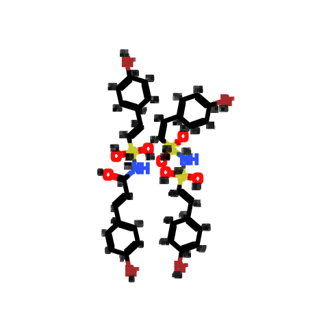 O=C(/C=C/c1ccc(Br)cc1)NS(=O)(=O)/C=C/c1ccc(Br)cc1.O=S(=O)(/C=C\c1ccc(Br)cc1)NS(=O)(=O)/C=C/c1ccc(Br)cc1